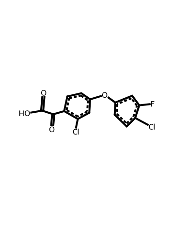 O=C(O)C(=O)c1ccc(Oc2ccc(Cl)c(F)c2)cc1Cl